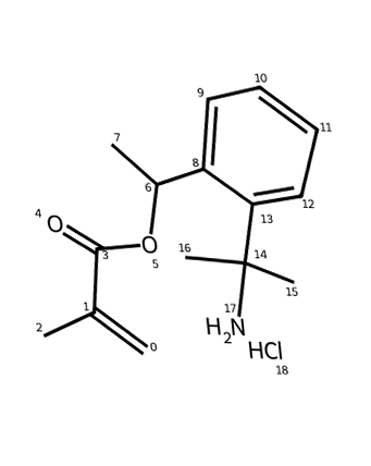 C=C(C)C(=O)OC(C)c1ccccc1C(C)(C)N.Cl